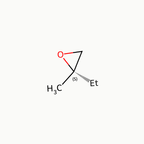 CC[C@@]1(C)CO1